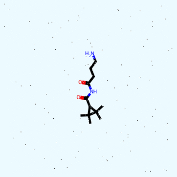 CC1(C)C(C(=O)NC(=O)CCCN)C1(C)C